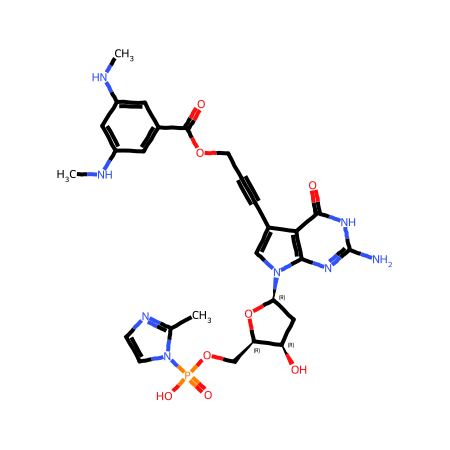 CNc1cc(NC)cc(C(=O)OCC#Cc2cn([C@H]3C[C@@H](O)[C@@H](COP(=O)(O)n4ccnc4C)O3)c3nc(N)[nH]c(=O)c23)c1